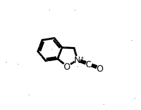 O=C=[N+]1Cc2ccccc2O1